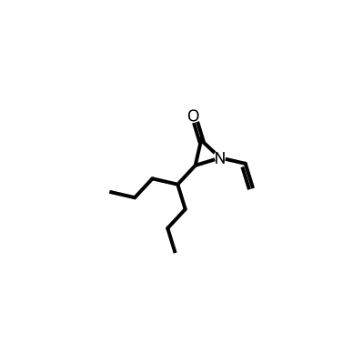 C=CN1C(=O)C1C(CCC)CCC